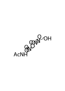 CC(=O)NC[C@H]1CN(c2ccc3c(c2)OCC2CN(C(=O)CCO)CCN32)C(=O)O1